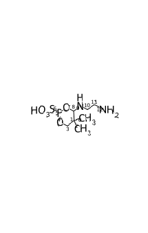 CC1(C)COP(S(=O)(=O)O)OC1NCCN